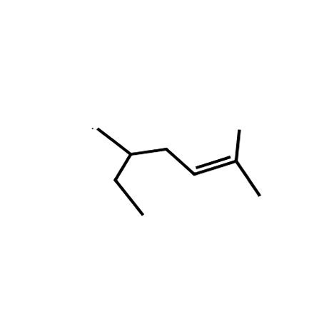 [CH2]C(CC)CC=C(C)C